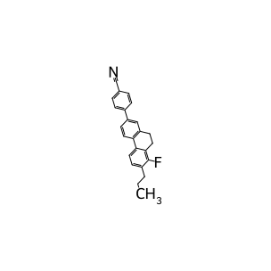 CCCc1ccc2c(c1F)CCc1cc(-c3ccc(C#N)cc3)ccc1-2